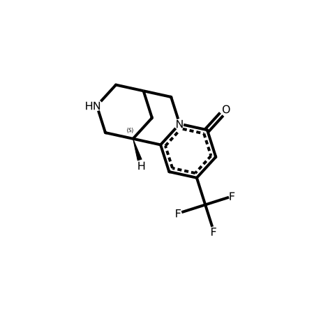 O=c1cc(C(F)(F)F)cc2n1CC1CNC[C@@H]2C1